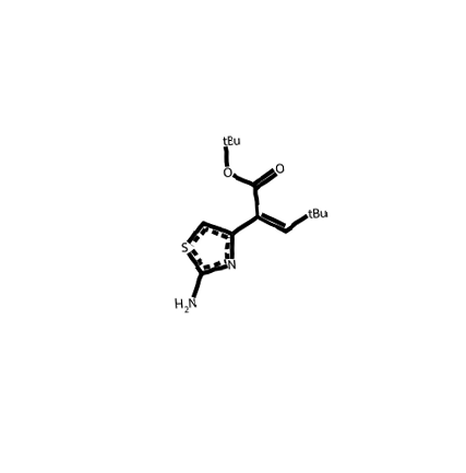 CC(C)(C)C=C(C(=O)OC(C)(C)C)c1csc(N)n1